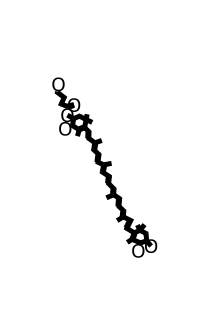 COCCCC(=O)OC1CC(C)(C)C(/C=C/C(C)=C/C=C/C(C)=C/C=C/C=C(C)/C=C/C=C(C)/C=C/C2=C(C)C(=O)C(OC)CC2(C)C)=C(C)C1=O